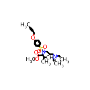 CC#CCOc1ccc(S(=O)(=O)N(CCCN(CC)CC)C(C(=O)OC)C(C)C)cc1